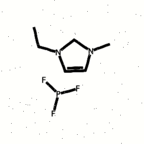 CCN1C=CN(C)C1.FP(F)F